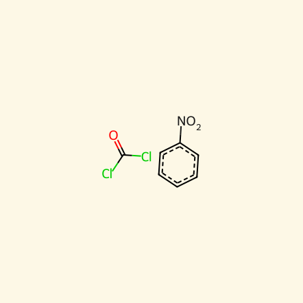 O=C(Cl)Cl.O=[N+]([O-])c1ccccc1